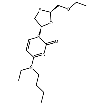 CCCCN(CC)c1ccn([C@H]2CS[C@@H](COCC)O2)c(=O)n1